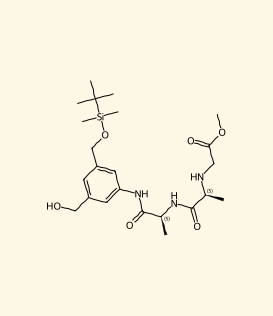 COC(=O)CN[C@@H](C)C(=O)N[C@@H](C)C(=O)Nc1cc(CO)cc(CO[Si](C)(C)C(C)(C)C)c1